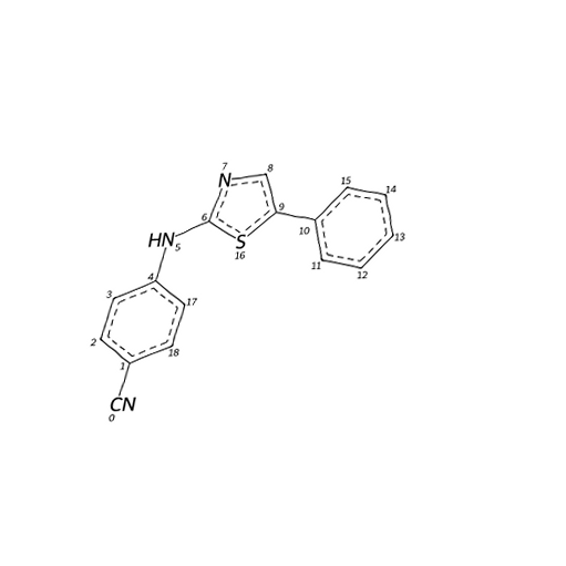 N#Cc1ccc(Nc2ncc(-c3ccccc3)s2)cc1